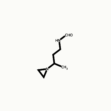 CC(CCNC=O)N1CC1